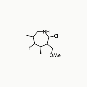 COCC1C(Cl)NCC(C)C(I)[C@@H]1C